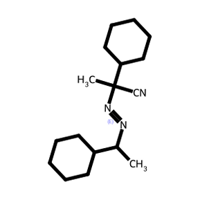 CC(/N=N/C(C)(C#N)C1CCCCC1)C1CCCCC1